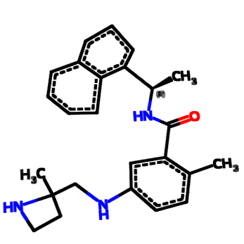 Cc1ccc(NCC2(C)CCN2)cc1C(=O)N[C@H](C)c1cccc2ccccc12